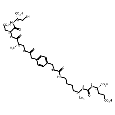 C[C@H](CCCCNC(=O)NCc1ccc(CC(=O)NC[C@H](N)C(=O)N[C@@H](CC(=O)O)C(=O)N[C@@H](CS)C(=O)O)cc1)NC(=O)N[C@@H](CCC(=O)O)C(=O)O